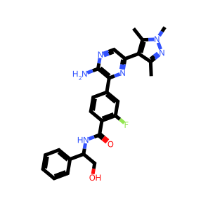 Cc1nn(C)c(C)c1-c1cnc(N)c(-c2ccc(C(=O)NC(CO)c3ccccc3)c(F)c2)n1